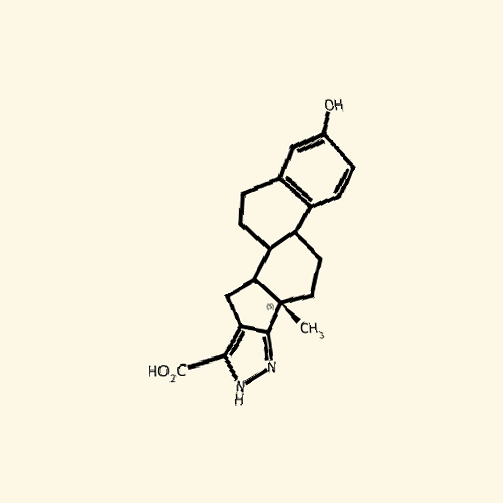 C[C@]12CCC3c4ccc(O)cc4CCC3C1Cc1c2n[nH]c1C(=O)O